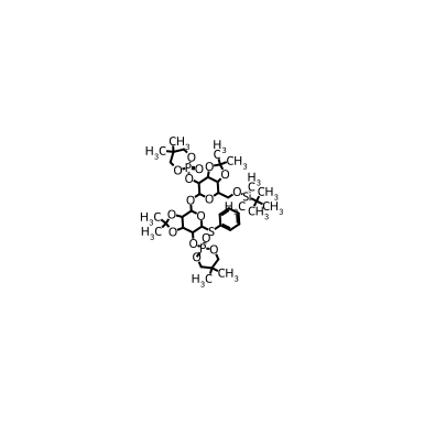 CC1(C)COP(=O)(OC2C(OC3OC(Sc4ccccc4)C(OP4(=O)OCC(C)(C)CO4)C4OC(C)(C)OC34)OC(CO[Si](C)(C)C(C)(C)C)C3OC(C)(C)OC32)OC1